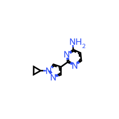 Nc1ccnc(-c2cnn(C3CC3)c2)n1